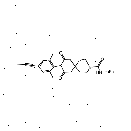 CC#Cc1cc(C)c(C2C(=O)CC3(CCN(C(=O)NCCCC)CC3)CC2=O)c(C)c1